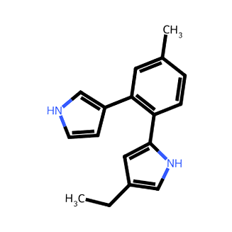 CCc1c[nH]c(-c2ccc(C)cc2-c2cc[nH]c2)c1